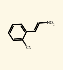 N#Cc1ccccc1C=C[N+](=O)[O-]